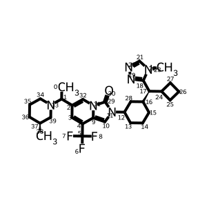 CC(c1cc(C(F)(F)F)c2cn(C3CCCC([C@@H](c4nncn4C)C4CCC4)C3)c(=O)n2c1)N1CCC[C@H](C)C1